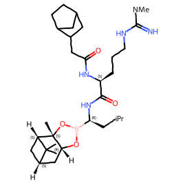 CNC(=N)NCCC[C@H](NC(=O)CC1CC2CCC1C2)C(=O)N[C@@H](CC(C)C)B1O[C@@H]2C[C@@H]3C[C@@H](C3(C)C)[C@]2(C)O1